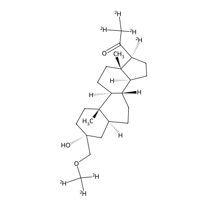 [2H]C([2H])([2H])OC[C@@]1(O)CC[C@@]2(C)[C@@H](CC[C@@H]3[C@@H]2CC[C@@]2(C)[C@H]3CC[C@]2([2H])C(=O)C([2H])([2H])[2H])C1